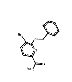 COC(=O)c1ccc(Br)c(OCc2ccccc2)n1